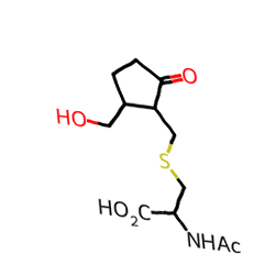 CC(=O)NC(CSCC1C(=O)CCC1CO)C(=O)O